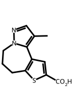 Cc1cnn2c1-c1cc(C(=O)O)sc1CCC2